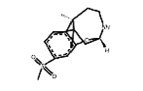 CC1(C)C[C@@H]2Cc3cc(S(C)(=O)=O)ccc3[C@@]1(C)CCN2